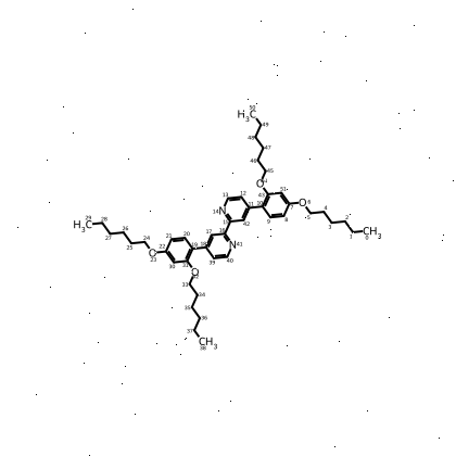 CCCCCCOc1ccc(-c2ccnc(-c3cc(-c4ccc(OCCCCCC)cc4OCCCCCC)ccn3)c2)c(OCCCCCC)c1